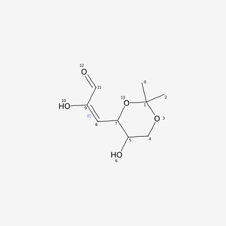 CC1(C)OCC(O)C(/C=C(/O)C=O)O1